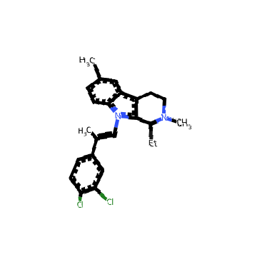 CCC1c2c(c3cc(C)ccc3n2/C=C(\C)c2ccc(Cl)c(Cl)c2)CCN1C